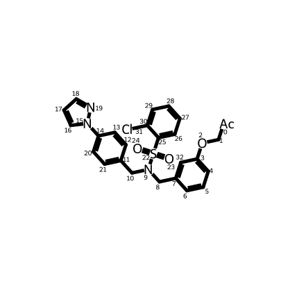 CC(=O)COc1cccc(CN(Cc2ccc(-n3cccn3)cc2)S(=O)(=O)c2ccccc2Cl)c1